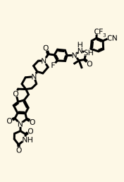 CC1(C)C(=O)[SH](c2ccc(C#N)c(C(F)(F)F)c2)NN1c1ccc(C(=O)N2CCC(N3CCC4(CC3)COc3cc5c(cc3C4)C(=O)N(C3CCC(=O)NC3=O)C5=O)CC2)c(F)c1